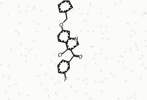 O=C(c1cccc(F)c1)c1cnc2cc(OCc3ccccc3)ccc2c1Cl